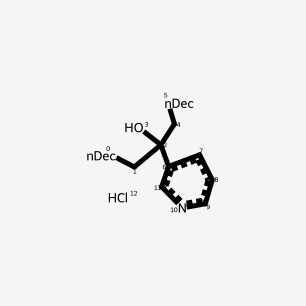 CCCCCCCCCCCC(O)(CCCCCCCCCCC)c1cccnc1.Cl